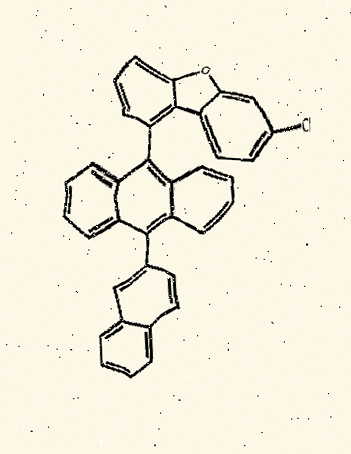 Clc1ccc2c(c1)oc1cccc(-c3c4ccccc4c(-c4ccc5ccccc5c4)c4ccccc34)c12